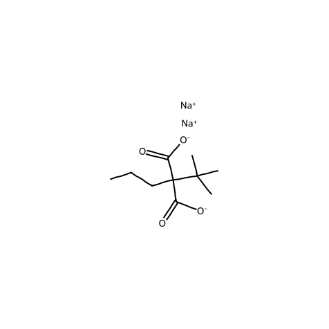 CCCC(C(=O)[O-])(C(=O)[O-])C(C)(C)C.[Na+].[Na+]